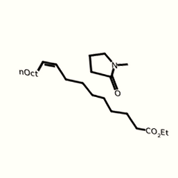 CCCCCCCC/C=C\CCCCCCCC(=O)OCC.CN1CCCC1=O